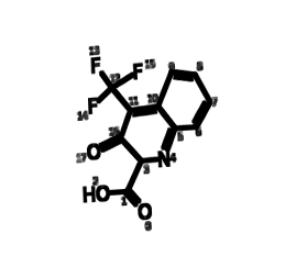 O=C(O)C1N=c2ccccc2=C(C(F)(F)F)C1=O